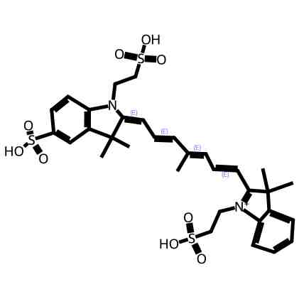 CC(/C=C/C=C1/N(CCS(=O)(=O)O)c2ccc(S(=O)(=O)O)cc2C1(C)C)=C\C=C\C1=[N+](CCS(=O)(=O)O)c2ccccc2C1(C)C